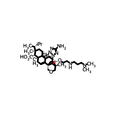 CC(C)[C@@H](C)[C@@]1(C)CC[C@]2(C)[C@H]3CC[C@@H]4[C@@]5(COC[C@@]4(C)[C@@H](OCCNCCCN(C)C)[C@H](n4nnc(N)n4)C5)C3=CC[C@@]2(C)[C@@H]1C(=O)O